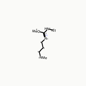 CCN/C(=N/CCCNC)OC